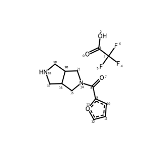 O=C(O)C(F)(F)F.O=C(c1ccco1)N1CC2CNCC2C1